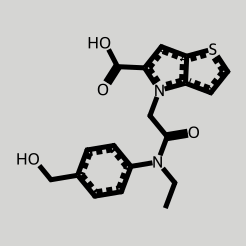 CCN(C(=O)Cn1c(C(=O)O)cc2sccc21)c1ccc(CO)cc1